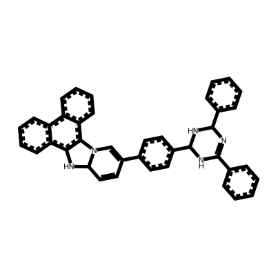 C1=CC2Nc3c(c4ccccc4c4ccccc34)N2C=C1c1ccc(C2NC(c3ccccc3)=NC(c3ccccc3)N2)cc1